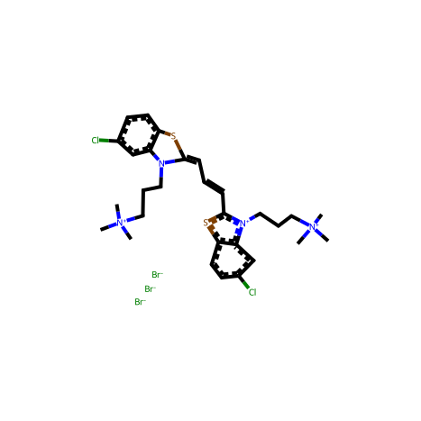 C[N+](C)(C)CCCN1C(=CC=Cc2sc3ccc(Cl)cc3[n+]2CCC[N+](C)(C)C)Sc2ccc(Cl)cc21.[Br-].[Br-].[Br-]